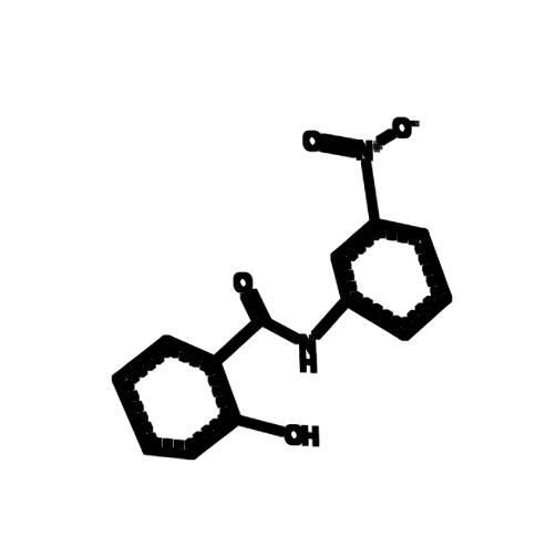 O=C(Nc1cccc([N+](=O)[O-])c1)c1ccccc1O